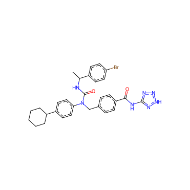 CC(NC(=O)N(Cc1ccc(C(=O)Nc2nn[nH]n2)cc1)c1ccc(C2CCCCC2)cc1)c1ccc(Br)cc1